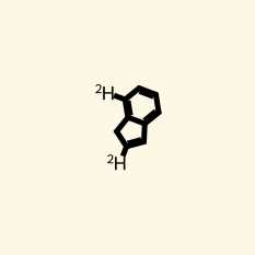 [2H]C1=Cc2cccc([2H])c2C1